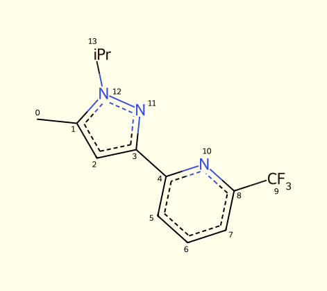 Cc1cc(-c2cccc(C(F)(F)F)n2)nn1C(C)C